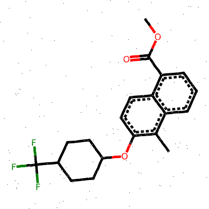 COC(=O)c1cccc2c(C)c(OC3CCC(C(F)(F)F)CC3)ccc12